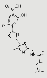 Cc1nc(CNC(=O)C(C)CN(C)C)sc1-c1csc(-c2cc(O)c(C(=O)O)cc2F)n1